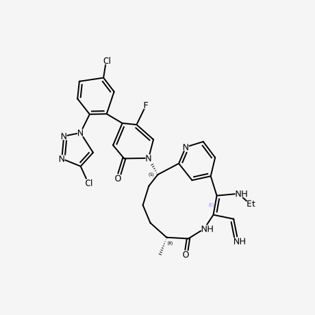 CCN/C1=C(\C=N)NC(=O)[C@H](C)CCC[C@H](n2cc(F)c(-c3cc(Cl)ccc3-n3cc(Cl)nn3)cc2=O)c2cc1ccn2